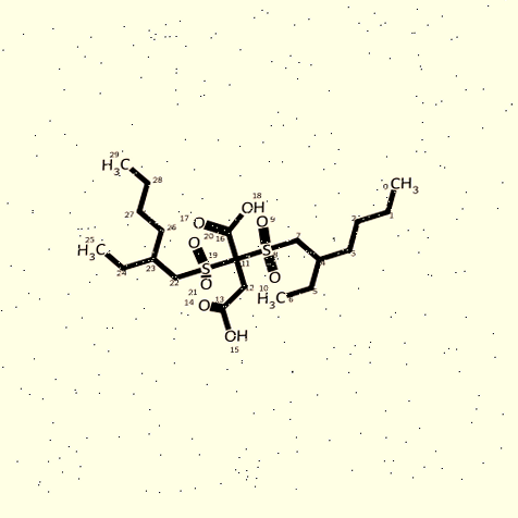 CCCCC(CC)CS(=O)(=O)C(CC(=O)O)(C(=O)O)S(=O)(=O)CC(CC)CCCC